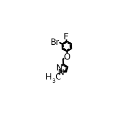 Cn1ccc(COc2ccc(F)c(Br)c2)n1